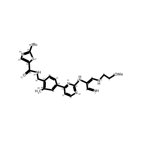 COCCN/C=C(\C=N)Nc1nccc(-c2ccc(CNC(=O)c3cnc(C(C)(C)C)s3)c(C)c2)n1